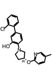 Cc1ccc(O[C@@H]2CCN(c3ccc(-c4ccccc4Cl)cc3O)C2)nc1